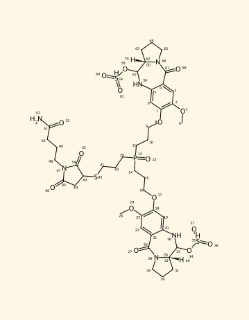 COc1cc2c(cc1OCCCP(=O)(CCCOc1cc3c(cc1OC)C(=O)N1CCC[C@H]1C(O[SH](=O)=O)N3)CCCSC1CC(=O)N(CCCC(N)=O)C1=O)NC(O[SH](=O)=O)[C@@H]1CCCN1C2=O